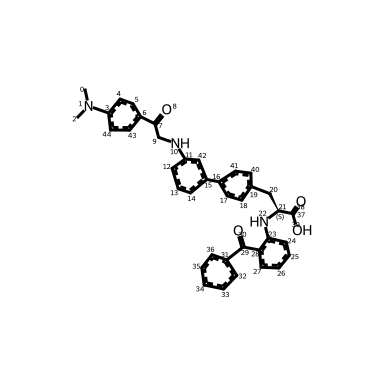 CN(C)c1ccc(C(=O)CNc2cccc(-c3ccc(C[C@H](Nc4ccccc4C(=O)c4ccccc4)C(=O)O)cc3)c2)cc1